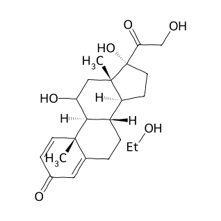 CCO.C[C@]12C=CC(=O)C=C1CC[C@@H]1[C@@H]2C(O)C[C@@]2(C)[C@H]1CC[C@]2(O)C(=O)CO